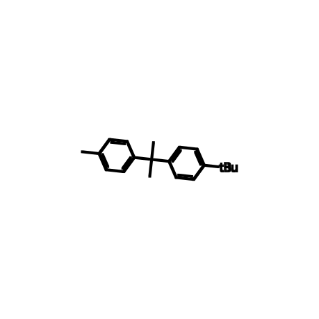 Cc1ccc(C(C)(C)c2ccc(C(C)(C)C)cc2)cc1